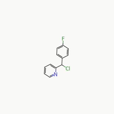 Fc1ccc(C(Cl)c2ccccn2)cc1